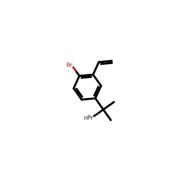 C=Cc1cc(C(C)(C)CCC)ccc1Br